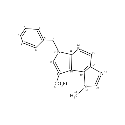 CCOC(=O)c1cn(Cc2ccccc2)c2ncc3ncn(C)c3c12